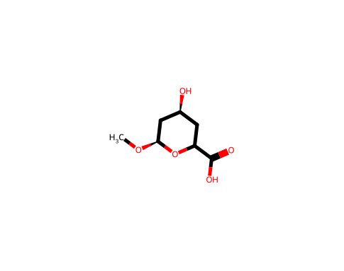 CO[C@H]1C[C@@H](O)CC(C(=O)O)O1